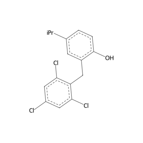 CC(C)c1ccc(O)c(Cc2c(Cl)cc(Cl)cc2Cl)c1